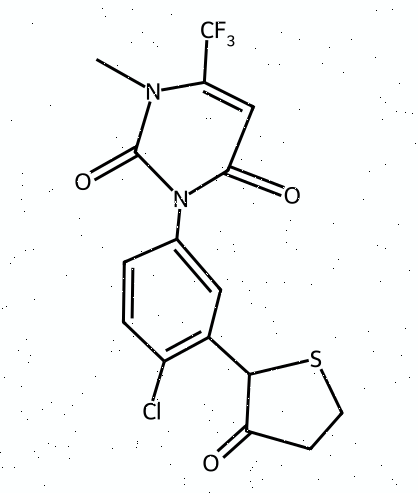 Cn1c(C(F)(F)F)cc(=O)n(-c2ccc(Cl)c(C3SCCC3=O)c2)c1=O